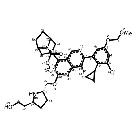 COCOc1cc(Cl)c(C2CC2)c(-c2ncc3c(N4CC5CCC(C4)N5C(=O)OC(C)(C)C)nc(OC[C@@H]4CC[C@@H](CCO)N4)nc3c2F)c1